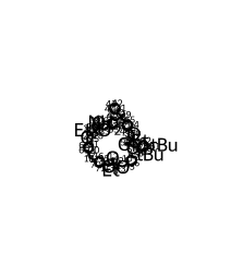 CCC(C)(Oc1ccc(C(C)(C)C)cc1)C(=O)Oc1ccc(Cc2ccc(OC(C)(CC)C(C)(CN)C(=O)Oc3ccc(C(C)(c4ccccc4)c4ccc(OC(C)(CC)C(=O)Oc5ccc(C(C)(C)C)cc5)cc4)cc3)cc2)cc1